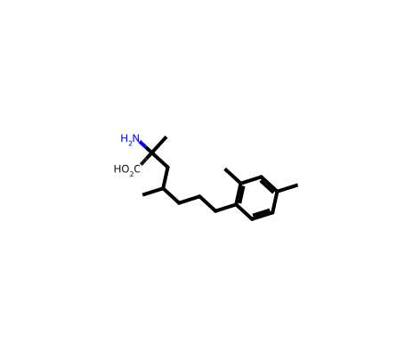 Cc1ccc(CCCC(C)CC(C)(N)C(=O)O)c(C)c1